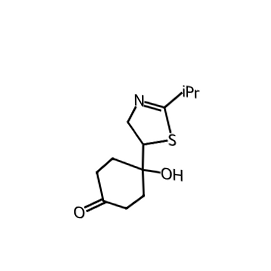 CC(C)C1=NCC(C2(O)CCC(=O)CC2)S1